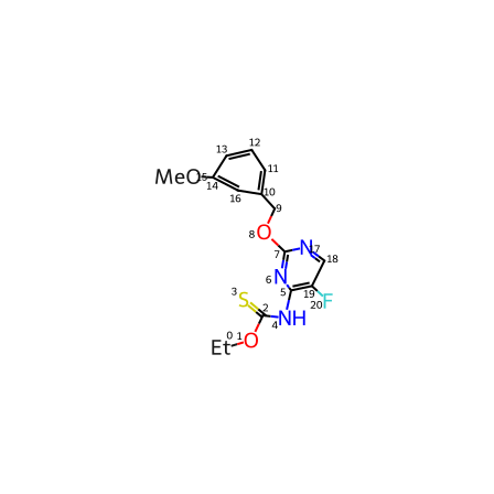 CCOC(=S)Nc1nc(OCc2cccc(OC)c2)ncc1F